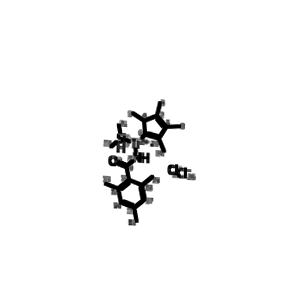 CC1=C(C)C(C)[C]([Ti+2]([NH]C(=O)c2c(C)cc(C)cc2C)[SiH](C)C)=C1C.[Cl-].[Cl-]